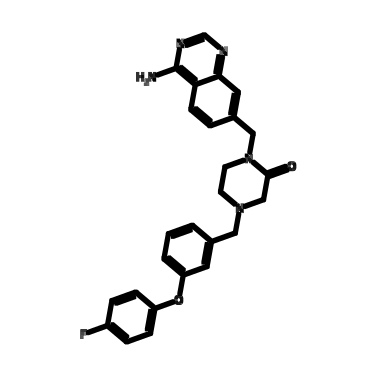 Nc1ncnc2cc(CN3CCN(Cc4cccc(Oc5ccc(F)cc5)c4)CC3=O)ccc12